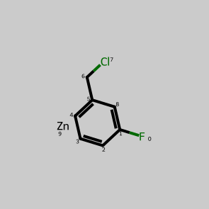 Fc1cccc(CCl)c1.[Zn]